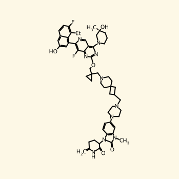 C=C1CCC(n2c(=O)n(C)c3cc(N4CCN(CC5CC6(CCN(CC7(COc8nc(N9CCC[C@@](C)(O)C9)c9cnc(-c%10cc(O)cc%11ccc(F)c(CC)c%10%11)c(F)c9n8)CC7)CC6)C5)CC4)ccc32)C(=O)N1